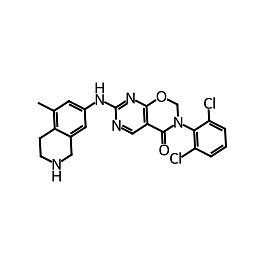 Cc1cc(Nc2ncc3c(n2)OCN(c2c(Cl)cccc2Cl)C3=O)cc2c1CCNC2